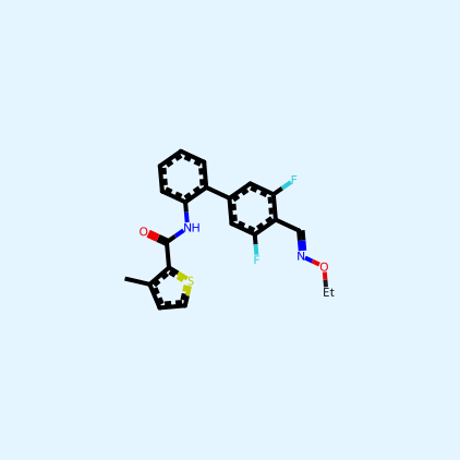 CCON=Cc1c(F)cc(-c2ccccc2NC(=O)c2sccc2C)cc1F